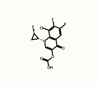 O=C(O)Oc1cn([C@@H]2C[C@H]2F)c2c(Cl)c(F)c(F)cc2c1=O